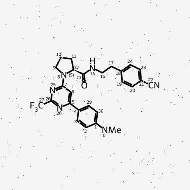 CNc1ccc(-c2cc(N3CCC[C@H]3C(=O)NCCc3ccc(C#N)cc3)nc(C(F)(F)F)n2)cc1